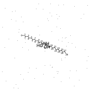 CCCCCCCCCCCCC(O)NC(O)CCCCCCCCCCCC